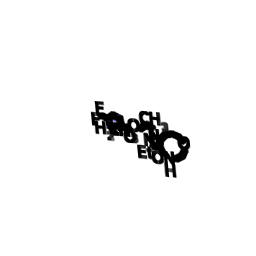 C=C(/C=C\C(=C/C)C(F)F)C(=O)OC[C@H](C)Cn1nc(CC)c2c1CCCOCCCNC2=O